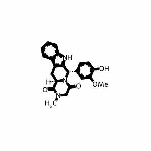 COc1cc([C@H]2c3[nH]c4ccccc4c3C[C@@H]3C(=O)N(C)CC(=O)N23)ccc1O